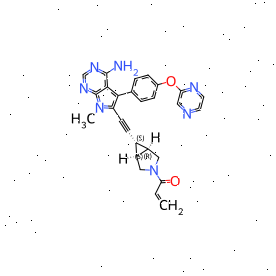 C=CC(=O)N1C[C@@H]2[C@@H](C#Cc3c(-c4ccc(Oc5cnccn5)cc4)c4c(N)ncnc4n3C)[C@@H]2C1